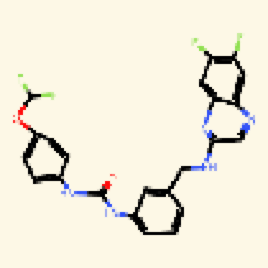 O=C(Nc1ccc(OC(F)F)cc1)Nc1cccc(CNc2cnc3cc(F)c(F)cc3n2)c1